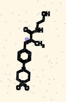 C/C(=C\c1ccc(N2CCS(=O)(=O)CC2)cc1)C(=O)NCCO